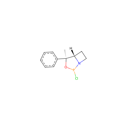 C[C@@]1(c2ccccc2)OP(Cl)N2CC[C@H]21